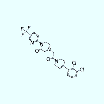 O=C(CN1CCN(c2ccc(C(F)(F)F)cn2)C(=O)C1)N1CC=C(c2cccc(Cl)c2Cl)CC1